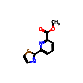 COC(=O)c1cccc(-c2nccs2)n1